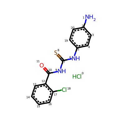 Cl.Nc1ccc(NC(=S)NC(=O)c2ccccc2Cl)cc1